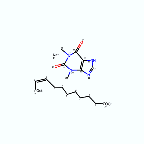 CCCCCCCC/C=C\CCCCCCCC(=O)[O-].Cn1c(=O)c2[nH]cnc2n(C)c1=O.[Na+]